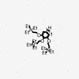 CC[N+](CC)(CC)CCOc1cccc(OCC[N+](CC)(CC)CC)c1OCC[N+](CC)(CC)CC.I[IH]I